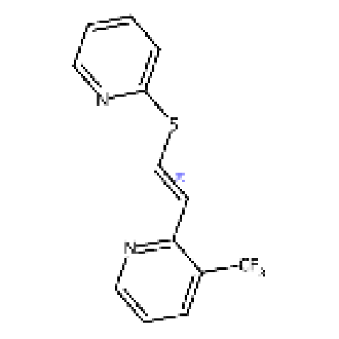 FC(F)(F)c1cccnc1/C=C/Sc1ccccn1